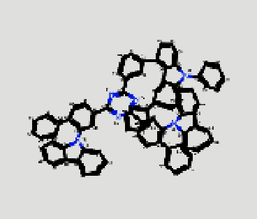 c1ccc(-c2ccc3c(c2)c2c(-c4cccc(-c5nc(-c6ccc(-c7ccccc7)c(-n7c8ccccc8c8ccccc87)c6)nc(-c6ccc(-c7ccccc7)c(-n7c8ccccc8c8ccccc87)c6)n5)c4)cccc2n3-c2ccccc2)cc1